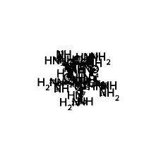 CNC(=O)[C@@H](CCCNC(=N)N)NC(=O)[C@@H](CCCNC(=N)N)NC(=O)[C@@H](CCCNC(=N)N)NC(=O)[C@@H](CCCNC(=N)N)NC(=O)[C@H](C)CCCNC(=N)N